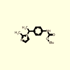 Cc1nccn1C(C)c1ccc(NC(=O)OC(C)(C)C)cc1